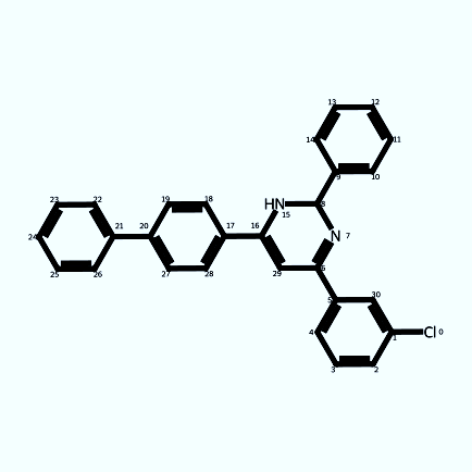 Clc1cccc(C2=NC(c3ccccc3)NC(c3ccc(-c4ccccc4)cc3)=C2)c1